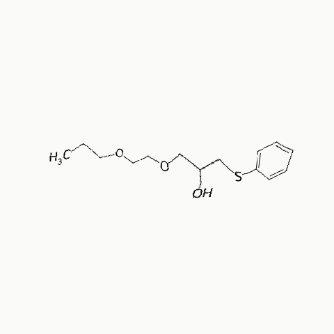 CCCOCCOCC(O)CSc1ccccc1